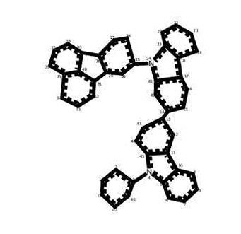 c1ccc(-n2c3ccccc3c3cc(-c4ccc5c6ccccc6n(-c6ccc7c(c6)-c6cccc8cccc-7c68)c5c4)ccc32)cc1